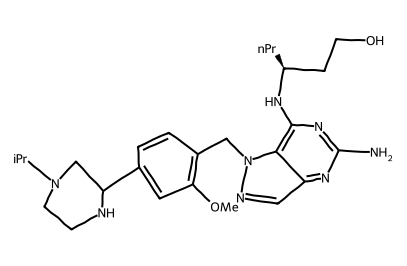 CCC[C@@H](CCO)Nc1nc(N)nc2cnn(Cc3ccc(C4CN(C(C)C)CCN4)cc3OC)c12